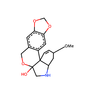 COC1C=CC23c4cc5c(cc4COC2(O)CNC3C1)OCO5